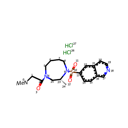 CNCC(=O)N1CCCCN(S(=O)(=O)c2ccc3cnccc3c2)[C@H](C)C1.Cl.Cl